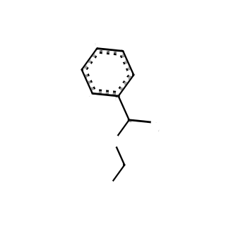 FCOC(Br)c1ccccc1